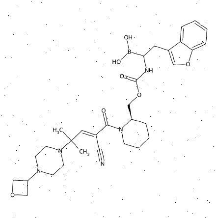 CC(C)(C=C(C#N)C(=O)N1CCCC[C@@H]1COC(=O)NC(Cc1coc2ccccc12)B(O)O)N1CCN(C2COC2)CC1